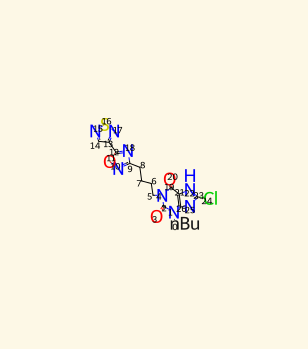 CCCCn1c(=O)n(CCCCc2noc(-c3cnsn3)n2)c(=O)c2[nH]c(Cl)nc21